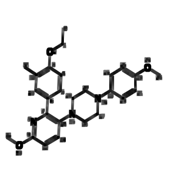 CCOc1ccc(-c2nc(OC)ccc2N2CCN(c3ccc(OC)cc3)CC2)cc1C